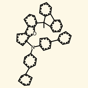 CC1(c2cccc3c2oc2c(N(c4ccc(-c5ccccc5)cc4)c4ccc(-c5ccccc5)cc4)cccc23)c2ccccc2-c2ccccc21